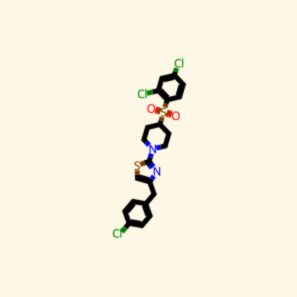 O=S(=O)(c1ccc(Cl)cc1Cl)C1CCN(c2nc(Cc3ccc(Cl)cc3)cs2)CC1